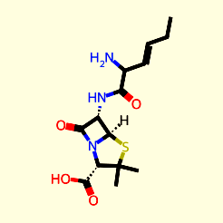 CC/C=C/C(N)C(=O)N[C@H]1C(=O)N2[C@@H]1SC(C)(C)[C@@H]2C(=O)O